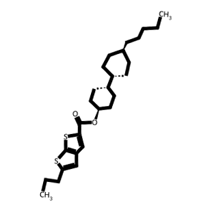 CCCCC[C@H]1CC[C@H]([C@H]2CC[C@H](OC(=O)c3cc4cc(CCC)sc4s3)CC2)CC1